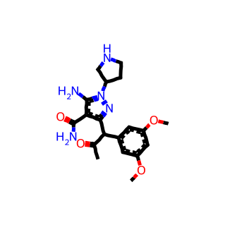 COc1cc(OC)cc(C(C(C)=O)c2nn(C3CCNC3)c(N)c2C(N)=O)c1